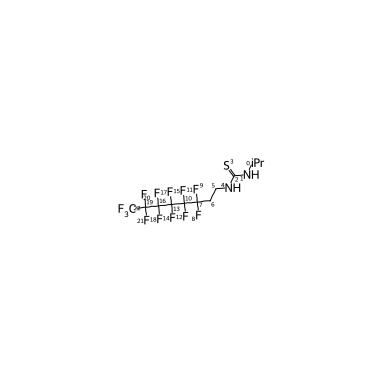 CC(C)NC(=S)NCCC(F)(F)C(F)(F)C(F)(F)C(F)(F)C(F)(F)C(F)(F)F